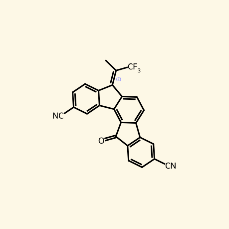 C/C(=C1\c2ccc(C#N)cc2-c2c1ccc1c2C(=O)c2ccc(C#N)cc2-1)C(F)(F)F